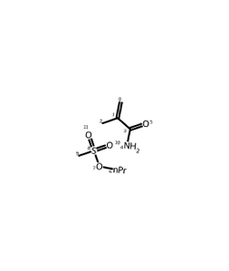 C=C(C)C(N)=O.CCCOS(C)(=O)=O